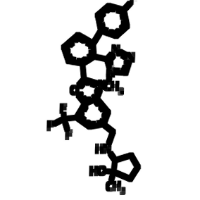 Cn1cnnc1-c1c(-c2ccc(F)cc2)cccc1-c1nc2cc(CNC3CCCC3(C)O)cc(C(F)(F)F)c2o1